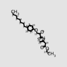 CCCCCCCCc1ccc(OCC(=O)c2nc(CC(=O)OCC)cs2)cc1